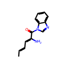 CC=CC=C(N)C(=O)n1cnc2ccccc21